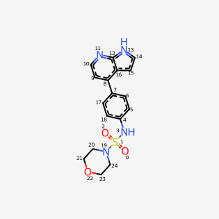 O=S(=O)(Nc1ccc(-c2ccnc3[nH]ccc23)cc1)N1CCOCC1